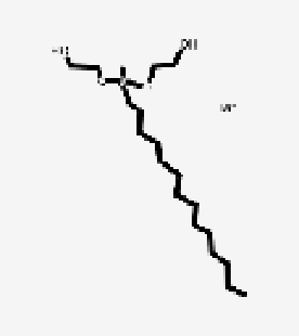 CCCCCCCCCCCCCC[N+](C)(OCCO)OCCO.[Br-]